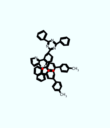 Cc1ccc(-c2ccc3c(c2)c2ccccc2n3-c2ccc(-c3nc(-c4ccccc4)nc(-c4ccccc4)n3)cc2-c2ncccc2-n2c3ccccc3c3cc(-c4ccc(C)cc4)ccc32)cc1